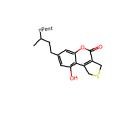 CCCCCC(C)CCc1cc(O)c2c3c(c(=O)oc2c1)CSC3